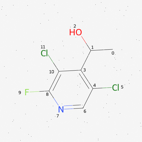 CC(O)c1c(Cl)cnc(F)c1Cl